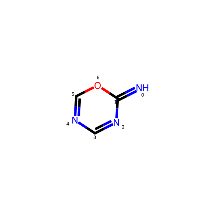 N=c1ncnco1